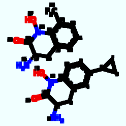 NC1Cc2cc(C3CC3)ccc2N(O)C1=O.N[C@H]1Cc2cccc(C(F)(F)F)c2N(O)C1=O